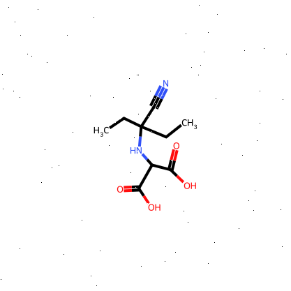 CCC(C#N)(CC)NC(C(=O)O)C(=O)O